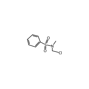 CN(CCl)S(=O)(=O)c1ccccc1